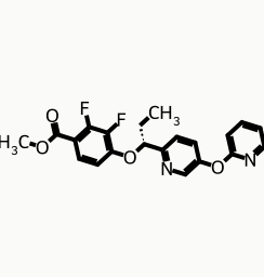 CC[C@@H](Oc1ccc(C(=O)OC)c(F)c1F)c1ccc(Oc2ccccn2)cn1